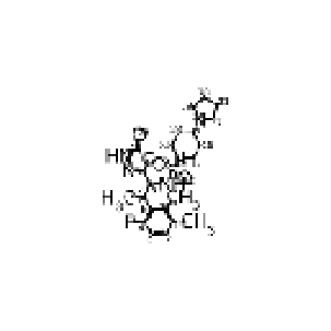 Cc1ccc(F)c([C@@H](C)[C@H](NS(=O)(=O)N2CCC(N3CCCC3)CC2)c2n[nH]c(=O)o2)c1C